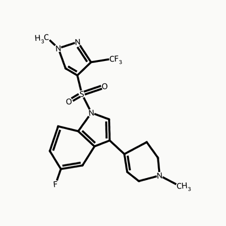 CN1CC=C(c2cn(S(=O)(=O)c3cn(C)nc3C(F)(F)F)c3ccc(F)cc23)CC1